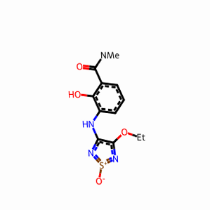 CCOc1n[s+]([O-])nc1Nc1cccc(C(=O)NC)c1O